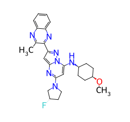 CO[C@H]1CC[C@@H](Nc2cc(N3CC[C@H](F)C3)nc3cc(-c4nc5ccccc5nc4C)nn23)CC1